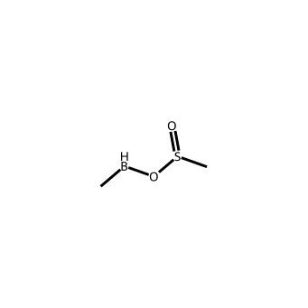 CBOS(C)=O